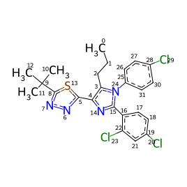 CCCc1c(-c2nnc(C(C)(C)C)s2)nc(-c2ccc(Cl)cc2Cl)n1-c1ccc(Cl)cc1